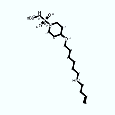 C=CCCNCCCCCCOC1CCN(S(=O)(=O)NCCCC)CC1